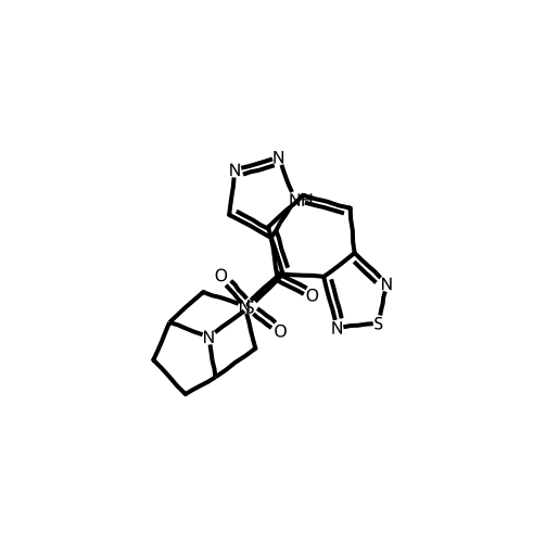 O=C(c1cnn[nH]1)N1CC2CCC(C1)N2S(=O)(=O)c1cccc2nsnc12